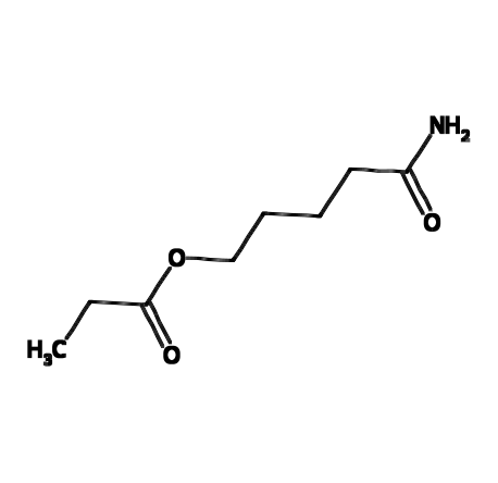 CCC(=O)OCCCCC(N)=O